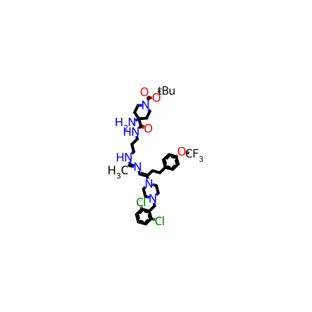 C/C(=N\C=C(/CCc1ccc(OC(F)(F)F)cc1)N1CCN(Cc2c(Cl)cccc2Cl)CC1)NCCCNC(=O)C1(N)CCN(C(=O)OC(C)(C)C)CC1